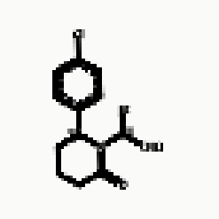 CC[C@@H](C=O)N1C(=O)CCC[C@H]1c1ccc(Cl)cc1